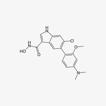 COc1cc(N(C)C)ccc1-c1cc2c(C(=O)NO)c[nH]c2cc1Cl